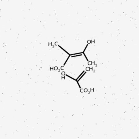 C/C(O)=C(/C)C(=O)O.C=C(O)C(=O)O